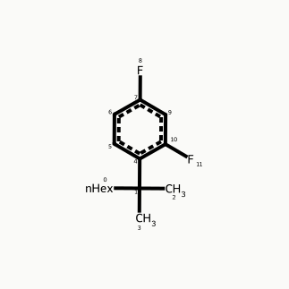 CCCCCCC(C)(C)c1ccc(F)cc1F